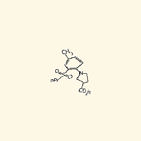 CCCS(=O)(=O)c1cc(C)ccc1N1CCC(C(=O)O)C1